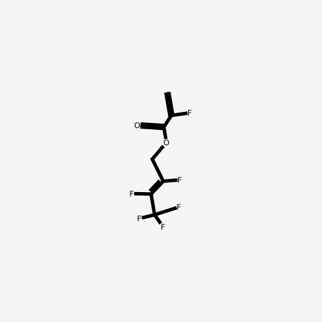 C=C(F)C(=O)OCC(F)=C(F)C(F)(F)F